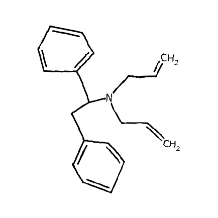 C=CCN(CC=C)C(Cc1ccccc1)c1ccccc1